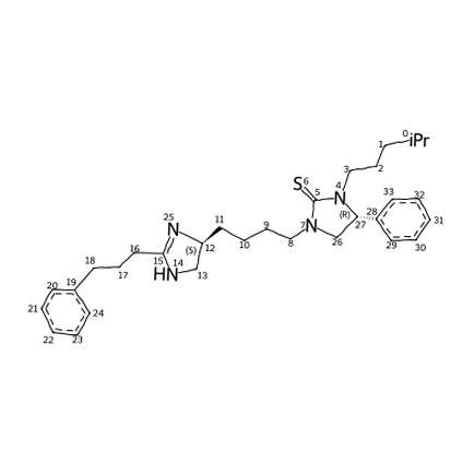 CC(C)CCCN1C(=S)N(CCCC[C@H]2CNC(CCCc3ccccc3)=N2)C[C@H]1c1ccccc1